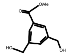 COC(=O)c1cc(CO)cc(CO)c1